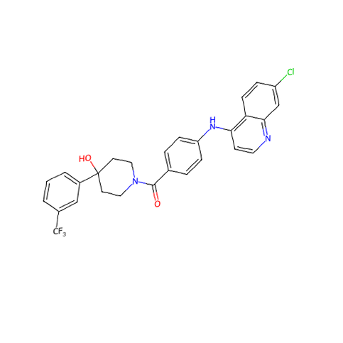 O=C(c1ccc(Nc2ccnc3cc(Cl)ccc23)cc1)N1CCC(O)(c2cccc(C(F)(F)F)c2)CC1